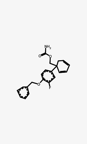 NC(=O)OCC1(c2ccc(OCc3ccccc3)c(F)c2)C=CC=CC1